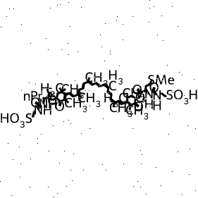 CCCC(NC(=O)NCCS(=O)(=O)O)C(=S)OC1CC(C)(C)C(C=CC(C)=CC=CC(C)=CC=CC=C(C)C=CC=C(C)C=CC2=C(C)C(=O)C(OC(=O)C(CCSC)NC(=O)NCCS(=O)(=O)O)CC2(C)C)=C(C)C1=O